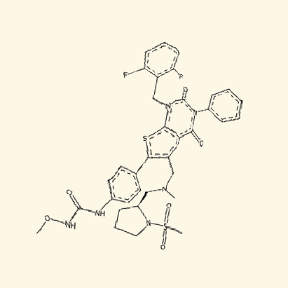 CONC(=O)Nc1ccc(-c2sc3c(c2CN(C)C[C@@H]2CCCN2S(C)(=O)=O)c(=O)n(-c2ccccc2)c(=O)n3Cc2c(F)cccc2F)cc1